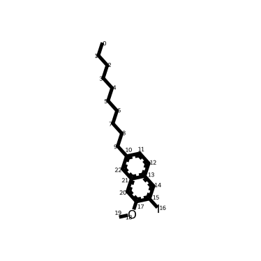 CCCCCCCCCCc1ccc2cc(I)c(OC)cc2c1